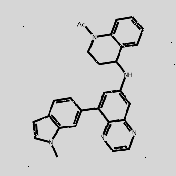 CC(=O)N1CCC(Nc2cc(-c3ccc4ccn(C)c4c3)c3nccnc3c2)c2ccccc21